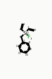 C=C[Si](F)(C=C)Cc1ccccc1